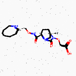 O=C(O)CON1C(=O)N2C[C@H]1CC[C@@H]2C(=O)NOC[C@@H]1CCCCCN1